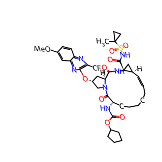 COc1ccc2nc(C(F)(F)F)c(O[C@@H]3C[C@H]4C(=O)N[C@]5(C(=O)NS(=O)(=O)C6(C)CC6)C[C@H]5/C=C\CCCCC[C@H](NC(=O)OC5CCCC5)C(=O)N4C3)nc2c1